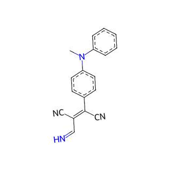 CN(c1ccccc1)c1ccc(/C(C#N)=C(\C#N)C=N)cc1